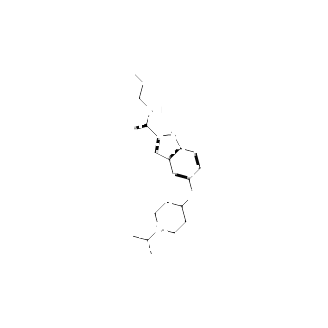 CCCNC(=O)c1cc2cc(OC3CCN(C(C)C)CC3)ccc2[nH]1